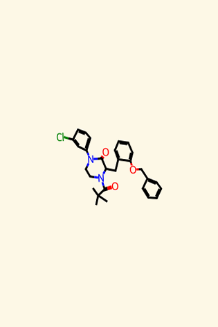 CC(C)(C)C(=O)N1CCN(c2cccc(Cl)c2)C(=O)C1Cc1ccccc1OCc1ccccc1